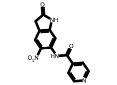 O=C1Cc2cc([N+](=O)[O-])c(NC(=O)c3ccncc3)cc2N1